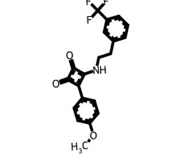 COc1ccc(-c2c(NCCc3cccc(C(F)(F)F)c3)c(=O)c2=O)cc1